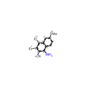 CCc1c(C#N)c(N)c2ccc(OC)cc2c1CC